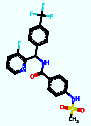 CS(=O)(=O)Nc1ccc(C(=O)NC(c2ccc(C(F)(F)F)cc2)c2ncccc2F)cc1